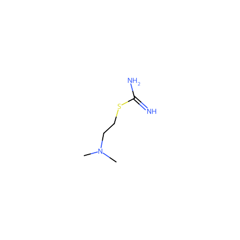 CN(C)CCSC(=N)N